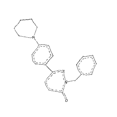 O=c1ccc(-c2ccc(N3CCCCC3)cc2)nn1Cc1ccccc1